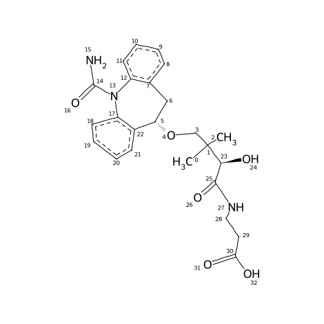 CC(C)(CO[C@H]1Cc2ccccc2N(C(N)=O)c2ccccc21)[C@@H](O)C(=O)NCCC(=O)O